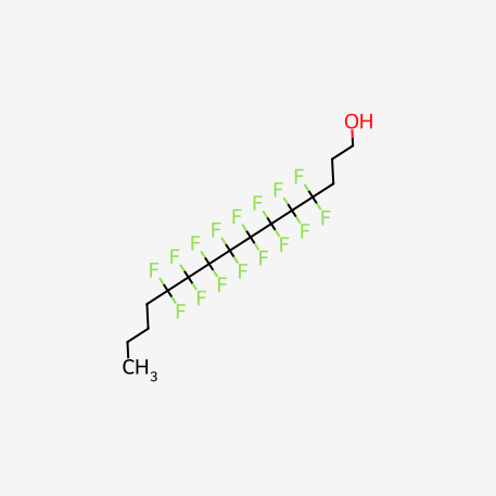 CCCCC(F)(F)C(F)(F)C(F)(F)C(F)(F)C(F)(F)C(F)(F)C(F)(F)C(F)(F)CCCO